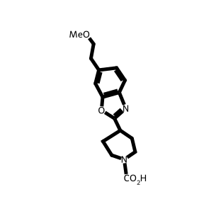 COCCc1ccc2nc(C3CCN(C(=O)O)CC3)oc2c1